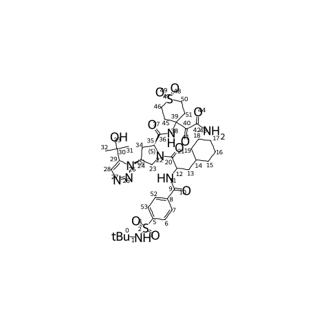 CC(C)(C)NS(=O)(=O)c1ccc(C(=O)NC(CC2CCCCC2)C(=O)N2C[C@@H](n3nncc3C(C)(C)O)C[C@H]2C(=O)NC2(C(=O)C(N)=O)CCS(=O)(=O)CC2)cc1